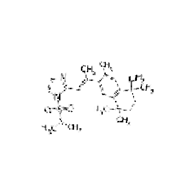 C/C(=C\c1nccn1S(=O)(=O)N(C)C)c1cc2c(cc1C)C(C)(C)CCC2(C)C